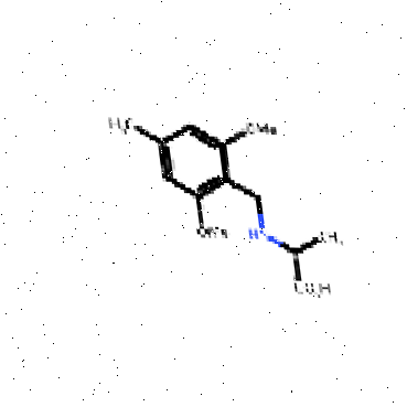 COc1cc(C)cc(OC)c1CN[C@@H](C)C(=O)O